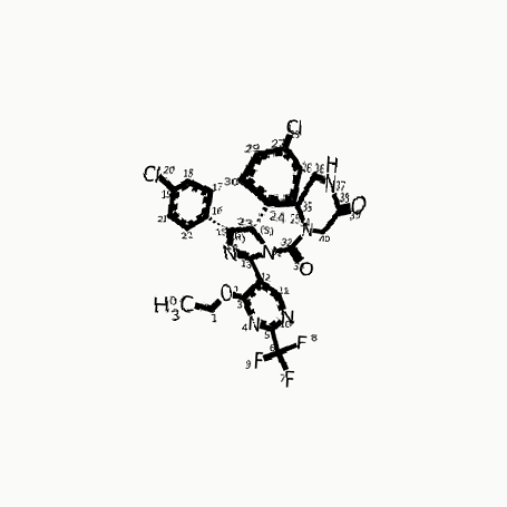 CCOc1nc(C(F)(F)F)ncc1C1=N[C@H](c2ccc(Cl)cc2)[C@H](c2ccc(Cl)cc2)N1C(=O)N1CCNC(=O)C1